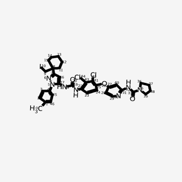 Cc1ccc(-n2nc(C3(CI)CCCCC3)cc2NC(=O)Nc2ccc(Oc3ccnc(NC(=O)N4CCCC4)c3)c(Cl)c2Cl)cc1